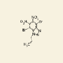 C=CCn1nnc2c(Br)c([N+](=O)[O-])c([N+](=O)[O-])c(Br)c21